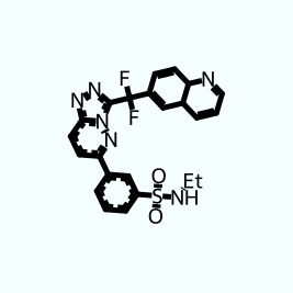 CCNS(=O)(=O)c1cccc(-c2ccc3nnc(C(F)(F)C4=CC5C=CC=NC5C=C4)n3n2)c1